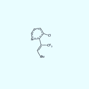 CCC(C)/C=C(/c1ncccc1Cl)C(F)(F)F